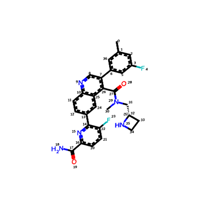 Cc1cc(F)cc(-c2cnc3ccc(-c4nc(C(N)=O)ccc4F)cc3c2C(=O)N(C)C[C@@H]2CCN2)c1